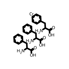 NC(Cc1ccccc1)C(=O)O.NC(Cc1ccccc1)C(=O)O.NC(Cc1ccccc1)C(=O)O.[Cr]